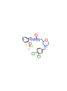 O=C(NCc1ccccc1OC(F)(F)F)NCC1CN(Cc2ccc(Cl)c(Cl)c2)CCO1